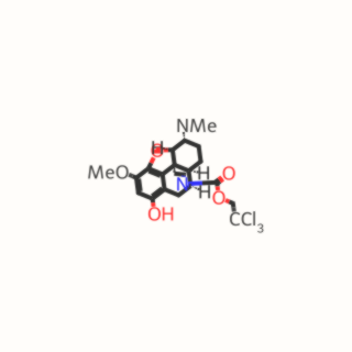 CN[C@@H]1CC[C@H]2[C@H]3Cc4c(O)cc(OC)c5c4[C@@]2(CCN3C(=O)OCC(Cl)(Cl)Cl)[C@H]1O5